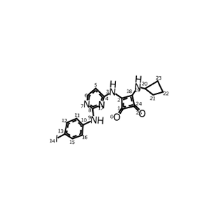 O=c1c(Nc2ccnc(Nc3ccc(I)cc3)n2)c(NC2CCC2)c1=O